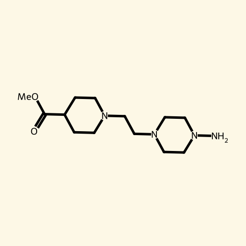 COC(=O)C1CCN(CCN2CCN(N)CC2)CC1